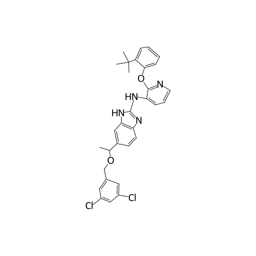 CC(OCc1cc(Cl)cc(Cl)c1)c1ccc2nc(Nc3cccnc3Oc3ccccc3C(C)(C)C)[nH]c2c1